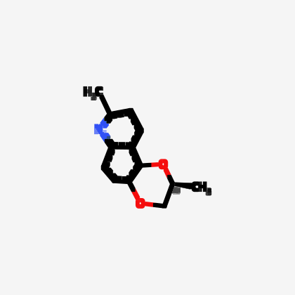 Cc1ccc2c3c(ccc2n1)OC[C@H](C)O3